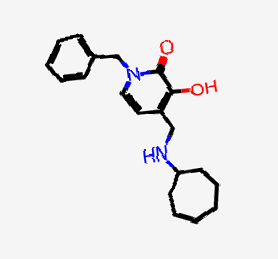 O=c1c(O)c(CNC2CCCCCC2)ccn1Cc1ccccc1